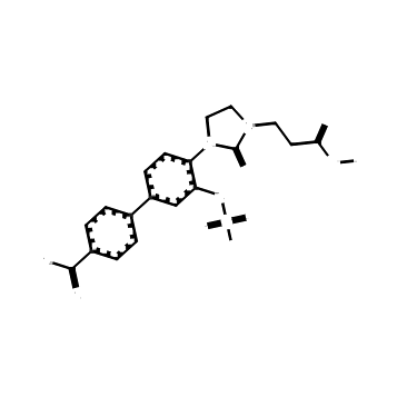 COC(=O)CCN1CCN(c2ccc(-c3ccc(C(=N)N)cc3)cc2NS(C)(=O)=O)C1=O.Cl